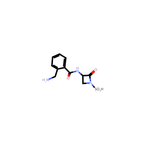 NCc1ccccc1C(=O)NC1CN(S(=O)(=O)O)C1=O